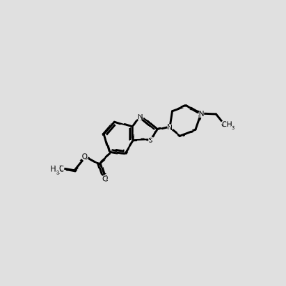 CCOC(=O)c1ccc2nc(N3CCN(CC)CC3)sc2c1